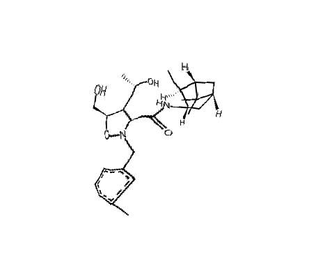 Cc1cccc(CN2O[C@@H](CO)C([C@H](C)O)[C@H]2C(=O)N[C@H]2C[C@H]3C[C@@H]([C@@H]2C)C3(C)C)c1